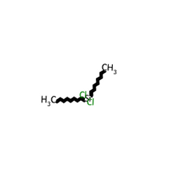 CCCCCCCCC=C[Si](Cl)(Cl)C=CCCCCCCCC